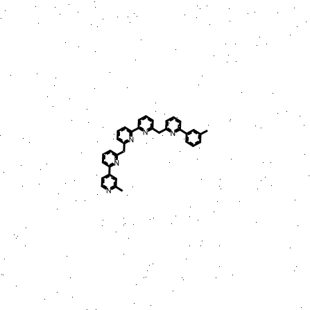 Cc1cccc(-c2cccc(Cc3cccc(-c4cccc(Cc5cccc(-c6ccnc(C)c6)n5)n4)n3)n2)c1